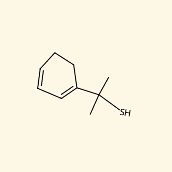 CC(C)(S)C1=CC=CCC1